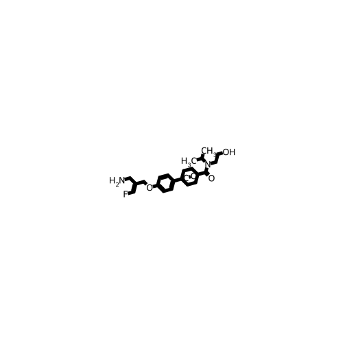 CC(C)N(CCO)C(=O)C12CCC(c3ccc(OCC(=CF)CN)cc3)(CC1)CC2